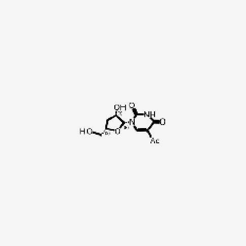 CC(=O)c1cn([C@@H]2O[C@H](CO)C[C@H]2O)c(=O)[nH]c1=O